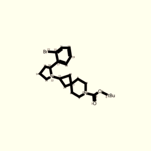 CC(C)(C)OC(=O)N1CCC2(CC1)CC(N1CCCC1c1ccccc1Br)C2